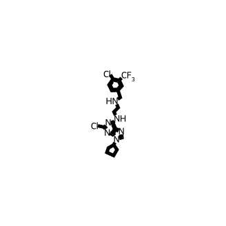 FC(F)(F)c1cc(CNCCNc2nc(Cl)nc3c2ncn3C2CCCC2)ccc1Cl